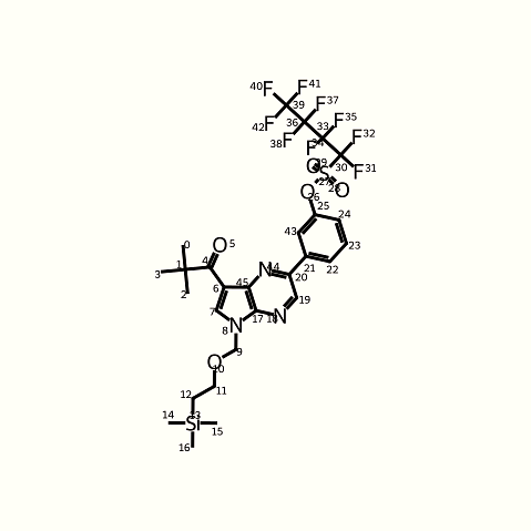 CC(C)(C)C(=O)c1cn(COCC[Si](C)(C)C)c2ncc(-c3cccc(OS(=O)(=O)C(F)(F)C(F)(F)C(F)(F)C(F)(F)F)c3)nc12